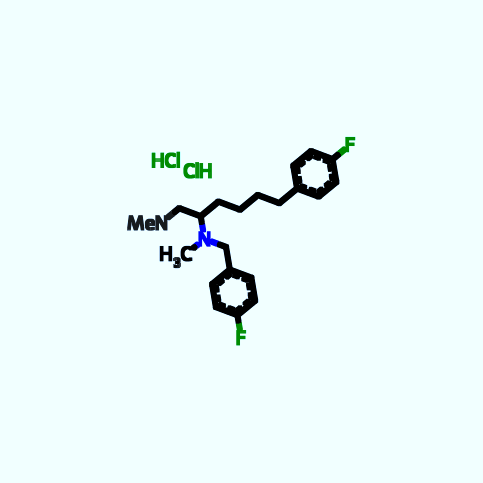 CNCC(CCCCc1ccc(F)cc1)N(C)Cc1ccc(F)cc1.Cl.Cl